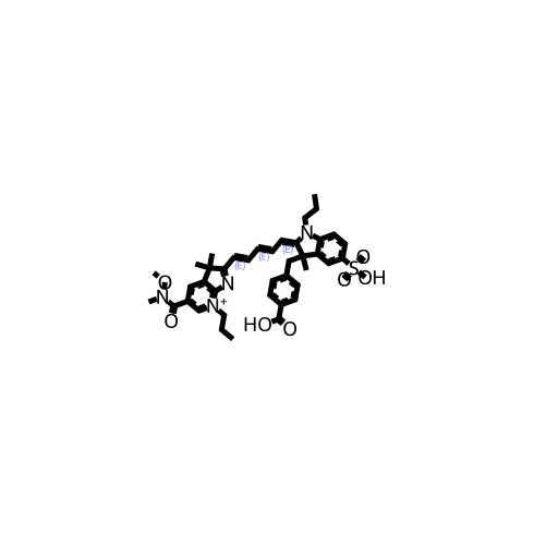 CCCN1/C(=C/C=C/C=C/C2=Nc3c(cc(C(=O)N(C)OC)c[n+]3CCC)C2(C)C)C(C)(Cc2ccc(C(=O)O)cc2)c2cc(S(=O)(=O)O)ccc21